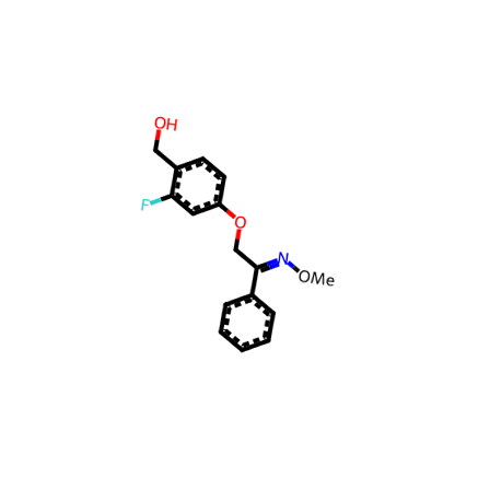 CON=C(COc1ccc(CO)c(F)c1)c1ccccc1